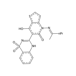 CCCC(C)=Nn1c(=O)c(C2=NS(=O)(=O)c3ccccc3N2)c(O)c2sccc21